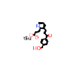 CC(C)(C)OC(=O)/C=C/c1ncccc1/C=C/C(=O)c1ccc(CO)cc1